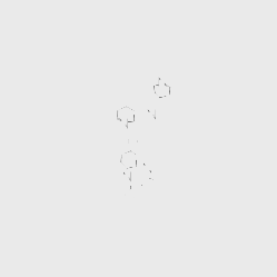 CCN1C(=O)C(C)(C)C(=O)N(C)c2cc(OCCCN(Cc3ccncc3)Cc3cccnc3)ccc21